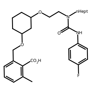 CCCCCCCN(CCOC1CCCC(OCc2cccc(C)c2C(=O)O)C1)C(=O)Nc1ccc(F)cc1